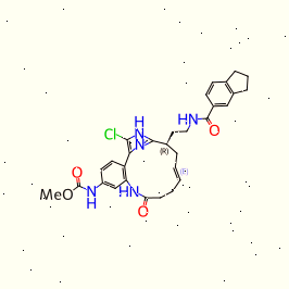 COC(=O)Nc1ccc2c(c1)NC(=O)CC/C=C/C[C@H](CCNC(=O)c1ccc3c(c1)CCC3)c1nc-2c(Cl)[nH]1